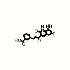 CNc1cc(F)cc2cc(C(=O)C=Cc3cccc(C(=O)O)c3)c(=O)[nH]c12